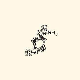 Nc1nc2c(ncn2[C@@H]2O[C@@H]3COP(=O)(S)O[C@H]4C[C@H](Nc5ncncn5)C[C@@H]4COP(=O)(S)O[C@@H]2[C@@H]3O)c(=O)[nH]1